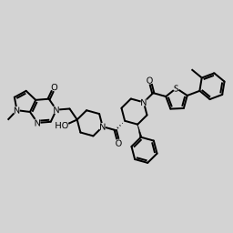 Cc1ccccc1-c1ccc(C(=O)N2CC[C@@H](C(=O)N3CCC(O)(Cn4cnc5c(ccn5C)c4=O)CC3)[C@H](c3ccccc3)C2)s1